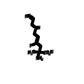 CC(N)(CC(F)=CCNCC=N)C(=O)O